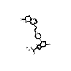 NC(=O)c1cc2cc(F)cc(N3CCN(CCc4ccc5c(c4)NC(=O)CC5)CC3)c2s1